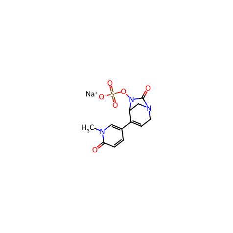 Cn1cc(C2=CCN3CC2N(OS(=O)(=O)[O-])C3=O)ccc1=O.[Na+]